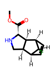 COC(=O)[C@H]1NC[C@@H]2[C@@H]3C=C[C@@H]([C@H]3F)[C@@H]21